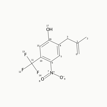 C=C(C)Cc1cc([N+](=O)[O-])c(C(F)(F)F)cc1O